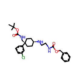 CC(C)(C)OC(=O)NC[C@]1(c2cccc(Cl)c2)CC[C@H](NCCNC(=O)OCc2ccccc2)CC1